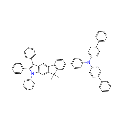 CC1(C)c2cc(-c3ccc(N(c4ccc(-c5ccccc5)cc4)c4ccc(-c5ccccc5)cc4)cc3)ccc2-c2cc3c(-c4ccccc4)c(-c4ccccc4)n(-c4ccccc4)c3cc21